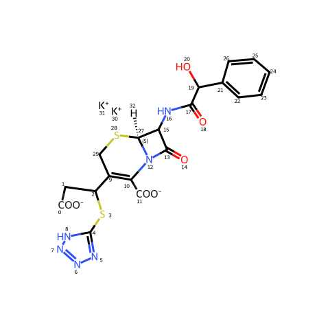 O=C([O-])CC(Sc1nnn[nH]1)C1=C(C(=O)[O-])N2C(=O)C(NC(=O)C(O)c3ccccc3)[C@@H]2SC1.[K+].[K+]